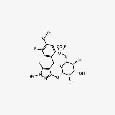 CCOC(=O)OC[C@H]1O[C@@H](Oc2nn(C(C)C)c(C)c2Cc2ccc(OCC)c(F)c2)[C@H](O)[C@@H](O)[C@@H]1O